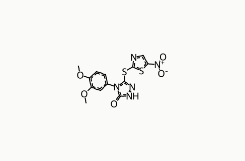 COc1ccc(-n2c(Sc3ncc([N+](=O)[O-])s3)n[nH]c2=O)cc1OC